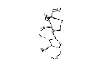 O=C1NC(O)CCN1C1O[C@H](CO)[C@@H](O)[C@@H]1F